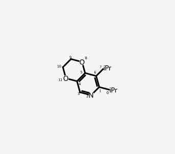 CC(C)c1ncc2c(c1C(C)C)OCCO2